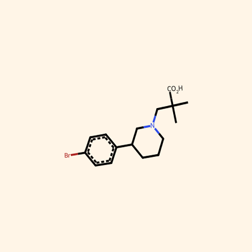 CC(C)(CN1CCCC(c2ccc(Br)cc2)C1)C(=O)O